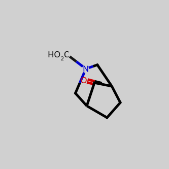 O=C1C2CCC1CN(C(=O)O)C2